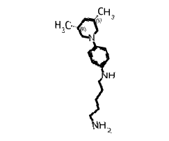 C[C@@H]1C[C@H](C)CN(c2ccc(NCCCCCN)cc2)C1